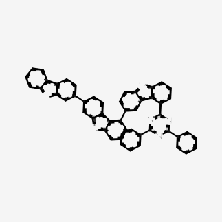 c1ccc(-c2nc(-c3ccccc3)nc(-c3cccc4oc5ccc(-c6cccc7sc8cc(-c9ccc%10c(c9)sc9ccccc9%10)ccc8c67)cc5c34)n2)cc1